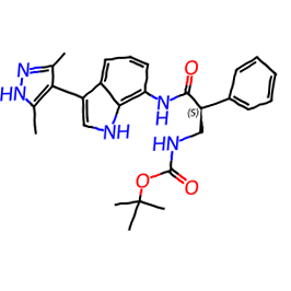 Cc1n[nH]c(C)c1-c1c[nH]c2c(NC(=O)[C@H](CNC(=O)OC(C)(C)C)c3ccccc3)cccc12